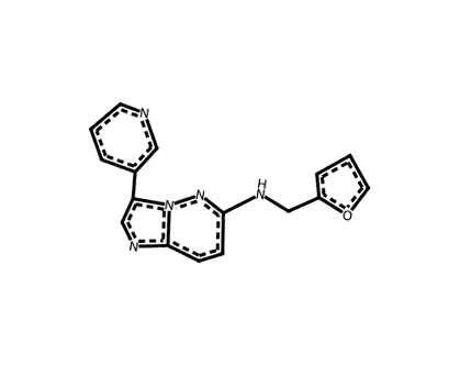 c1cncc(-c2cnc3ccc(NCc4ccco4)nn23)c1